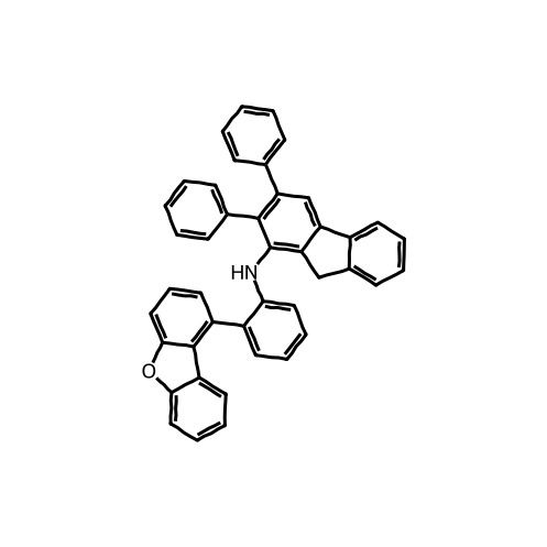 c1ccc(-c2cc3c(c(Nc4ccccc4-c4cccc5oc6ccccc6c45)c2-c2ccccc2)Cc2ccccc2-3)cc1